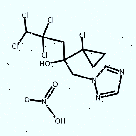 O=[N+]([O-])O.OC(Cn1cncn1)(CC(Cl)(Cl)C(Cl)Cl)C1(Cl)CC1